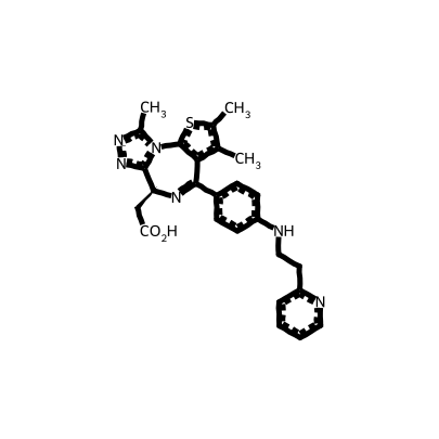 Cc1sc2c(c1C)C(c1ccc(NCCc3ccccn3)cc1)=N[C@@H](CC(=O)O)c1nnc(C)n1-2